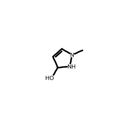 CN1C=C[C](O)N1